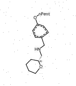 CCCCCOc1ccc(CNC[C@H]2CCCCO2)cc1